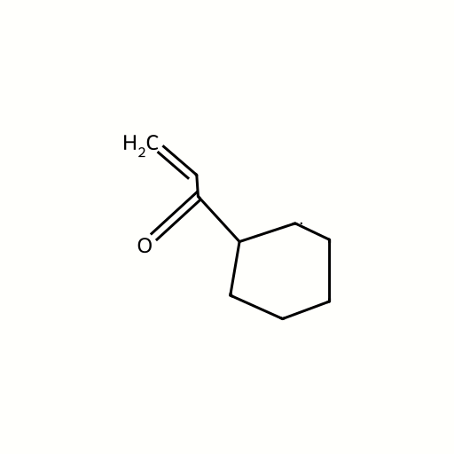 C=CC(=O)C1[CH]CCCC1